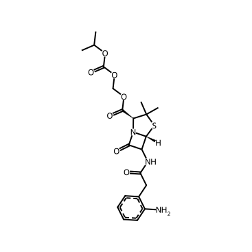 CC(C)OC(=O)OCOC(=O)[C@@H]1N2C(=O)C(NC(=O)Cc3ccccc3N)[C@H]2SC1(C)C